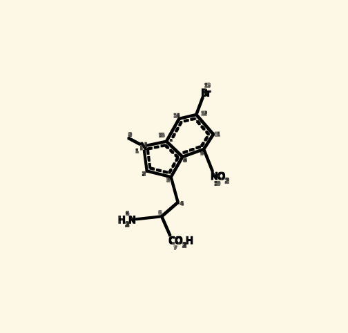 Cn1cc(CC(N)C(=O)O)c2c([N+](=O)[O-])cc(Br)cc21